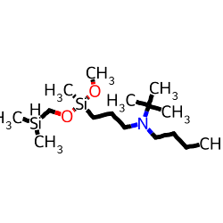 CCCCN(CCC[Si](C)(OC)OC[SiH](C)C)C(C)(C)C